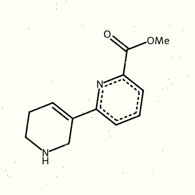 COC(=O)c1cccc(C2=CCCNC2)n1